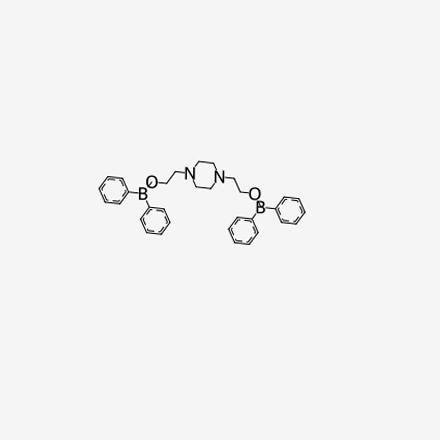 c1ccc(B(OCCN2CCN(CCOB(c3ccccc3)c3ccccc3)CC2)c2ccccc2)cc1